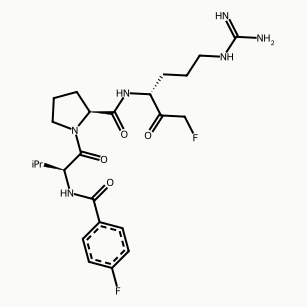 CC(C)[C@H](NC(=O)c1ccc(F)cc1)C(=O)N1CCC[C@H]1C(=O)N[C@H](CCCNC(=N)N)C(=O)CF